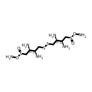 NOS(=O)C[C@@H](N)[C@H](N)CSSC[C@@H](N)[C@H](N)CS(=O)ON